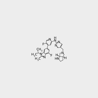 Cc1nc2c(F)cc(-c3cc(Nc4ncc(CN5C[C@@H]6CCN[C@@H]6C5)cn4)ncc3F)cc2n1C(C)C